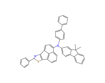 CC1(C)c2ccccc2-c2ccc(N(c3ccc(-c4ccccc4)cc3)c3ccc4c5c(cccc35)-c3sc(-c5ccccc5)nc3-4)cc21